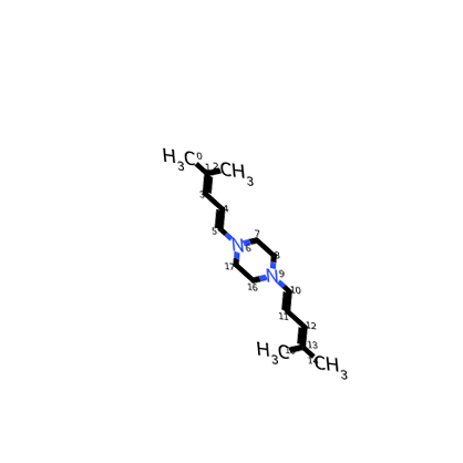 CC(C)=C/C=C/N1CCN(/C=C/C=C(C)C)CC1